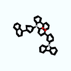 c1ccc(-c2ccccc2N(c2ccc(-c3cccc(-n4c5ccccc5c5ccccc54)c3)cc2)c2ccc(-c3cccc4ccccc34)cc2)cc1